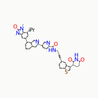 CC(C)c1cc(-c2cccc3cc(-c4ccc(C(=O)NCC#Cc5ccc6scc(C7CCC(=O)NC7=O)c6c5)nc4)ncc23)cc2c1n(C)c(=O)n2C